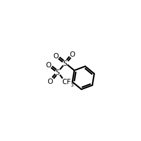 O=S(=O)(c1ccccc1)S(=O)(=O)C(F)(F)F